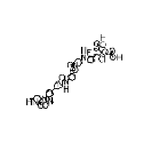 C=C1CC[C@@H](n2c(=O)n(C)c3cc(C4CCN(C(=O)Nc5cccc(CS(=O)(=O)N6CCC(Nc7cccc(-c8sc(C(=O)O)c(OCC(=O)O)c8Cl)c7F)CC6)c5)CC4)ccc32)C(=O)N1